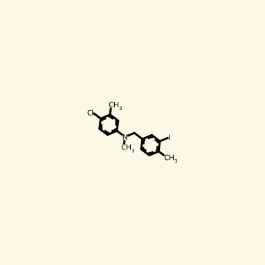 Cc1cc(N(C)Cc2ccc(C)c(I)c2)ccc1Cl